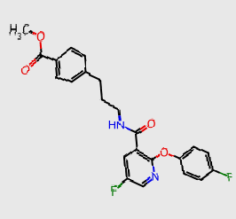 COC(=O)c1ccc(CCCNC(=O)c2cc(F)cnc2Oc2ccc(F)cc2)cc1